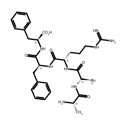 CC[C@H](C)[C@H](NC(=O)[C@H](C)N)C(=O)N[C@@H](CCCNC(=N)N)C(=O)N[C@@H](Cc1ccccc1)C(=O)N[C@@H](Cc1ccccc1)C(=O)O